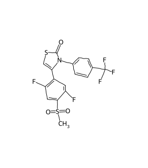 CS(=O)(=O)c1cc(F)c(-c2csc(=O)n2-c2ccc(C(F)(F)F)cc2)cc1F